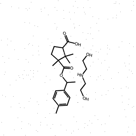 Cc1ccc(C(C)OC(=O)C2(C)CCC(C(=O)O)C2(C)C)cc1.OCCNCCO